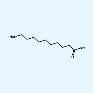 CCCCCCCCCCCCCCCCCCC(=O)CCC